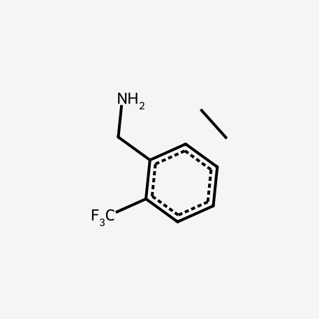 CC.NCc1ccccc1C(F)(F)F